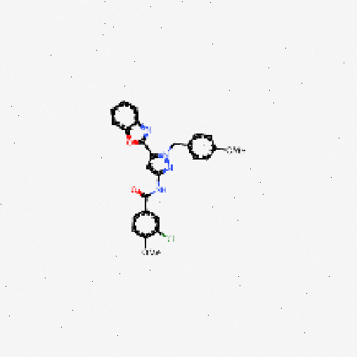 COc1ccc(Cn2nc(NC(=O)c3ccc(OC)c(Cl)c3)cc2-c2nc3ccccc3o2)cc1